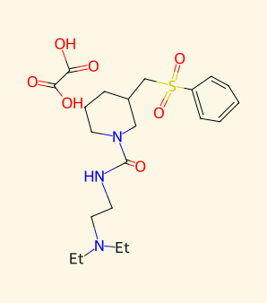 CCN(CC)CCNC(=O)N1CCCC(CS(=O)(=O)c2ccccc2)C1.O=C(O)C(=O)O